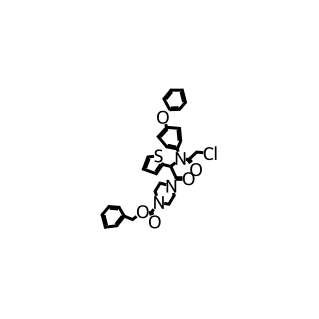 O=C(OCc1ccccc1)N1CCN(C(=O)C(c2cccs2)N(C(=O)CCl)c2ccc(Oc3ccccc3)cc2)CC1